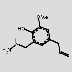 C=CCc1cc(CNN)c(O)c(OC)c1